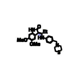 CC/C(Nc1ccc(CN2CCSCC2)cc1)=C1\C(=O)Nc2cc(OC)c(OC)cc21